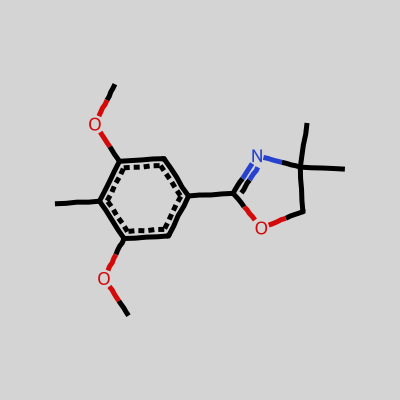 COc1cc(C2=NC(C)(C)CO2)cc(OC)c1C